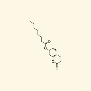 CCCCCCCC(=O)Oc1ccc2ccc(=O)oc2c1